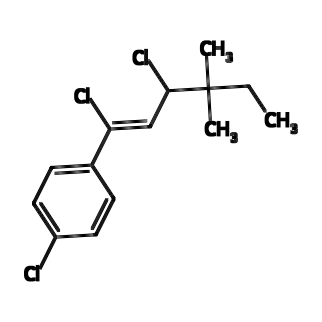 CCC(C)(C)C(Cl)C=C(Cl)c1ccc(Cl)cc1